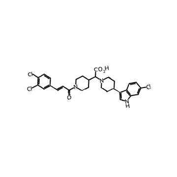 O=C(O)C(C1CCN(C(=O)C=Cc2ccc(Cl)c(Cl)c2)CC1)N1CCC(c2c[nH]c3cc(Cl)ccc23)CC1